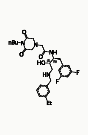 CCCCN1C(=O)CN(CC(=O)N[C@@H](Cc2cc(F)cc(F)c2)[C@@H](O)CNCc2cccc(CC)c2)CC1=O